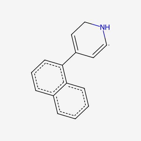 [C]1=CC(c2cccc3ccccc23)=CCN1